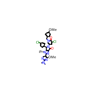 COc1ccc(Cn2cc(N3C(=O)c4nc(-c5cnc(N(C)C)nc5OC)n(C(C)C)c4C3c3ccc(Cl)cc3)cc(Cl)c2=O)cc1